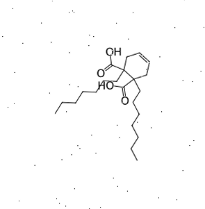 CCCCCCCC1(C(=O)O)CC=CCC1(CCCCCCC)C(=O)O